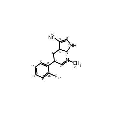 CN=CC(CC1CNC=C1C#N)c1ccccc1F